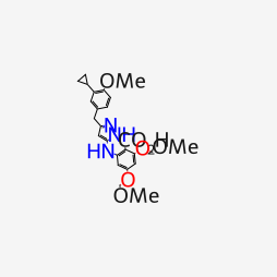 COCOc1cc(Nc2cc(Cc3ccc(OC)c(C4CC4)c3)n[nH]2)c(C(=O)O)c(OCOC)c1